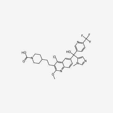 COc1nc2ccc(C(O)(c3ccc(C(F)(F)F)nc3)c3cncn3C)cc2c(Cl)c1CCC1CCN(C(=O)O)CC1